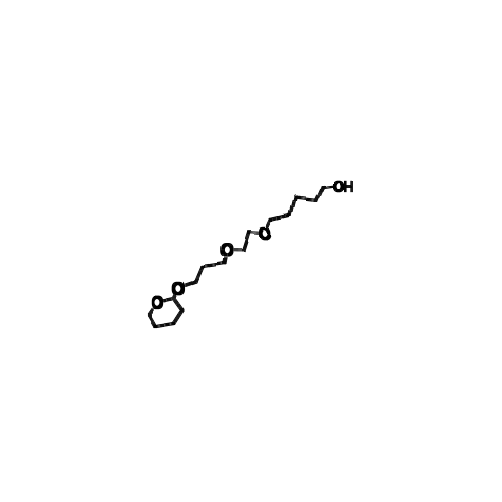 OCCCCCOCCOCCCOC1CCCCO1